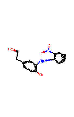 O=[N+]([O-])c1ccccc1N=Nc1cc(CCO)ccc1O